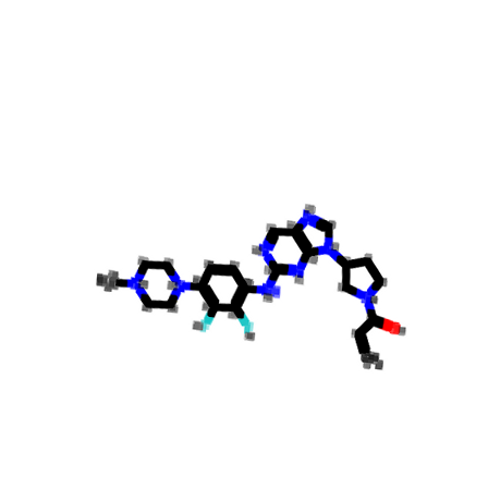 C=CC(=O)N1CCC(n2cnc3cnc(Nc4ccc(N5CCN(C)CC5)c(F)c4F)nc32)C1